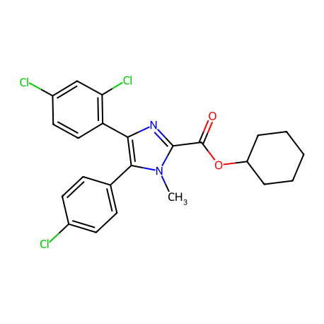 Cn1c(C(=O)OC2CCCCC2)nc(-c2ccc(Cl)cc2Cl)c1-c1ccc(Cl)cc1